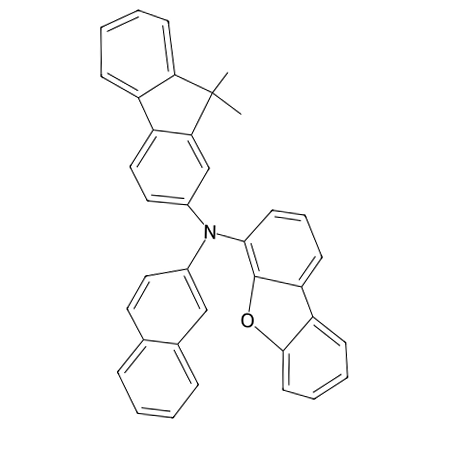 CC1(C)c2ccccc2-c2ccc(N(c3ccc4ccccc4c3)c3cccc4c3oc3ccccc34)cc21